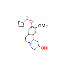 COc1cc2c(cc1O[C@H](C)C1CCC1)CCN1CCC(O)CC21